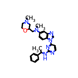 CC(Nc1nccc(-n2cnc3cc(N(C)CC4CN(C)CCO4)ccc32)n1)c1ccccc1